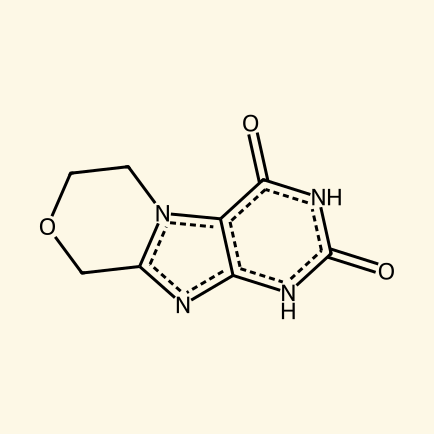 O=c1[nH]c(=O)c2c(nc3n2CCOC3)[nH]1